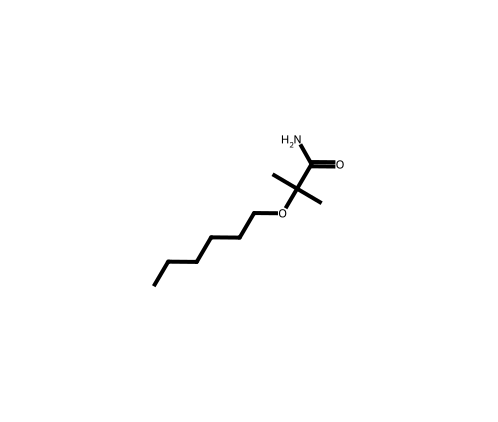 CCCCCCOC(C)(C)C(N)=O